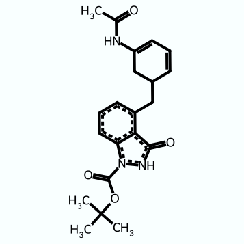 CC(=O)NC1=CC=CC(Cc2cccc3c2c(=O)[nH]n3C(=O)OC(C)(C)C)C1